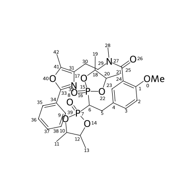 COc1ccc(CC(P2(=O)OC(C)C(C)O2)P2(=O)OC(C)C(C)O2)cc1C(=O)N(C)CCc1nc(-c2ccccc2)oc1C